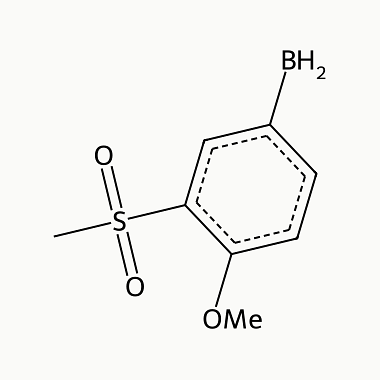 Bc1ccc(OC)c(S(C)(=O)=O)c1